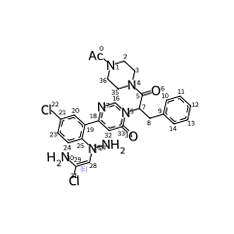 CC(=O)N1CCN(C(=O)C(Cc2ccccc2)n2cnc(-c3cc(Cl)ccc3N(N)/C=C(\N)Cl)cc2=O)CC1